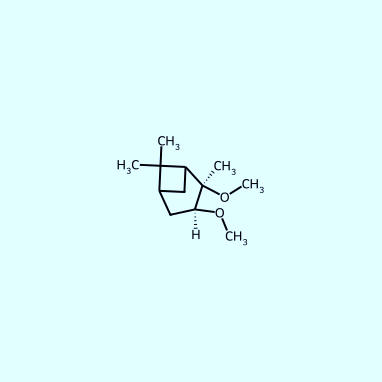 CO[C@H]1CC2CC(C2(C)C)[C@@]1(C)OC